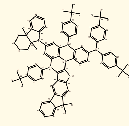 CC(C)(C)c1ccc(N(c2ccc(C(C)(C)C)cc2)c2ccc3c(c2)N(c2ccc(C(C)(C)C)cc2)c2cc(N4c5ccccc5C5(C)CCCCC45C)cc4c2B3c2sc3cc5c(cc3c2N4c2ccc(C(C)(C)C)cc2)-c2ccccc2C5(C)C)cc1